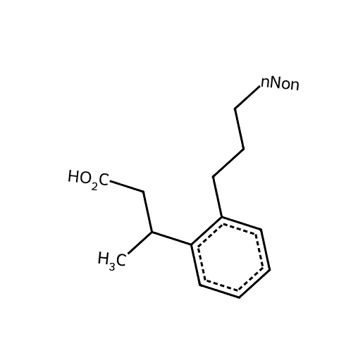 CCCCCCCCCCCCc1ccccc1C(C)CC(=O)O